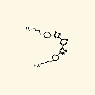 CCCCC[C@H]1CC[C@@H](c2cc(-c3cccc(-c4cc([C@H]5CC[C@@H](CCCCC)CC5)n[nH]4)c3)[nH]n2)CC1